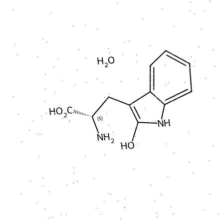 N[C@@H](Cc1c(O)[nH]c2ccccc12)C(=O)O.O